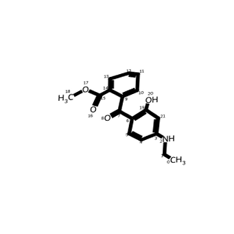 CCNc1ccc(C(=O)c2ccccc2C(=O)OC)c(O)c1